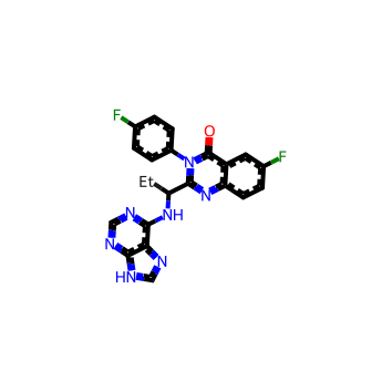 CCC(Nc1ncnc2[nH]cnc12)c1nc2ccc(F)cc2c(=O)n1-c1ccc(F)cc1